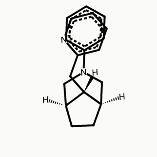 c1ccc(N2C[C@H]3CC[C@@H](C2)[C@@H]3Cc2ccccn2)cc1